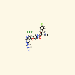 Cl.Cn1cc(C(=O)Nc2ccc(Oc3ccnc4cnc(N5CCNCC5)cc34)cc2)c(=O)c(-c2ccc(F)cc2)c1